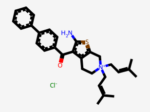 CC(C)=CC[N+]1(CC=C(C)C)CCc2c(sc(N)c2C(=O)c2ccc(-c3ccccc3)cc2)C1.[Cl-]